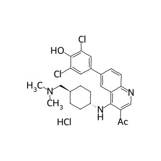 CC(=O)c1cnc2ccc(-c3cc(Cl)c(O)c(Cl)c3)cc2c1N[C@H]1CC[C@H](CN(C)C)CC1.Cl